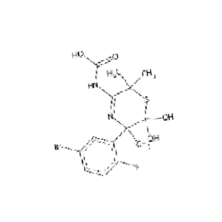 CC1(C)SC(O)(O)C(C)(c2cc(Br)ccc2F)N=C1NC(=O)O